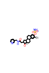 CCc1cc2c(cc1OS(N)(=O)=O)CCC1C2CC[C@]2(C)C(=O)C(CC(=O)NCc3cccnc3)CC12